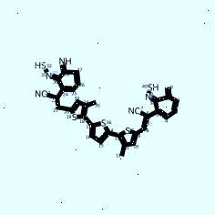 C=C1C=CC=C(/C(C#N)=C/c2cc(C)c(-c3ccc(-c4sc(CC(C#N)C5=CC=CC(=N)/C5=N\S)cc4C)s3)s2)/C1=N/S